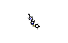 Cc1ccc(SN2CCC(N3CCC(C)CC3)CC2)cc1